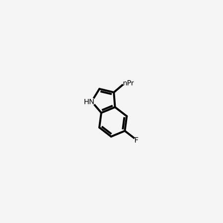 CCCc1c[nH]c2ccc(F)cc12